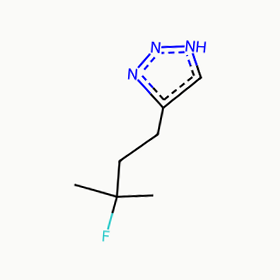 CC(C)(F)CCc1c[nH]nn1